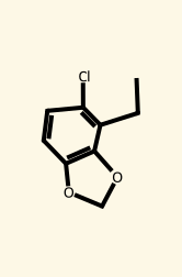 CCc1c(Cl)ccc2c1OCO2